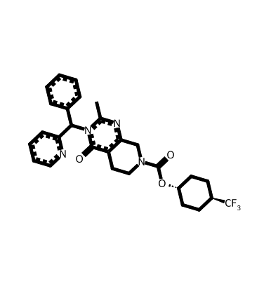 Cc1nc2c(c(=O)n1C(c1ccccc1)c1ccccn1)CCN(C(=O)O[C@H]1CC[C@H](C(F)(F)F)CC1)C2